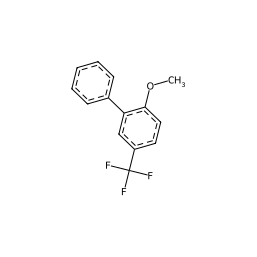 COc1ccc(C(F)(F)F)cc1-c1ccccc1